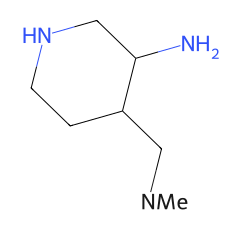 CNCC1CCNCC1N